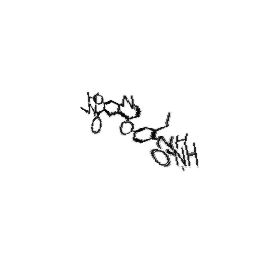 CCNC(=O)c1cc2c(Oc3ccc(NC(=O)NC)c(CI)c3)ccnc2cc1OC